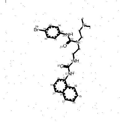 CN(C)CCN(CCNC(=O)Nc1cccc2ccccc12)C(=O)Nc1ccc(Br)cc1